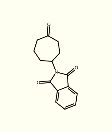 O=C1CCCC(N2C(=O)c3ccccc3C2=O)CC1